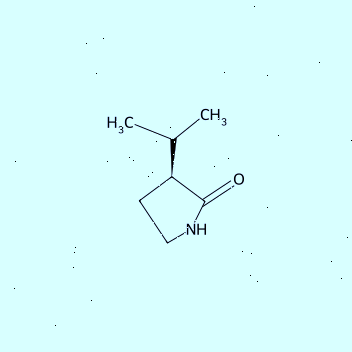 CC(C)[C@@H]1CCNC1=O